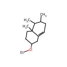 CCOC1CCC2(C)C(=CCC(C)C2C)C1